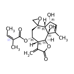 C=C1C(=O)O[C@H]2[C@H]1[C@H](OC(=O)/C(C)=C\C)C[C@]1(CO1)[C@@H]1[C@H](O)C=C(C)[C@]21O